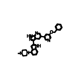 CN1CCN(c2cccc3[nH]c(-c4n[nH]c5ncc(-c6cncc(OCc7ccccc7)c6)cc45)cc23)CC1